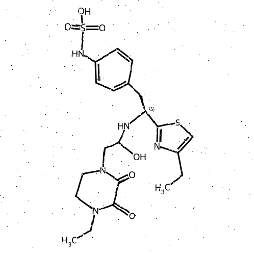 CCc1csc([C@H](Cc2ccc(NS(=O)(=O)O)cc2)NC(O)CN2CCN(CC)C(=O)C2=O)n1